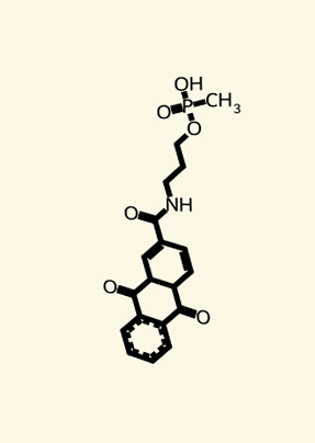 CP(=O)(O)OCCCNC(=O)C1=CC2C(=O)c3ccccc3C(=O)C2C=C1